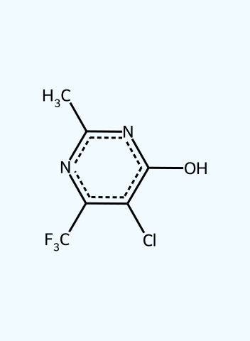 Cc1nc(O)c(Cl)c(C(F)(F)F)n1